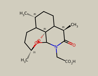 C[C@@H]1CCC2[C@@H](C)C(=O)N(CC(=O)O)C3O[C@]4(C)CCC1[C@@]23OO4